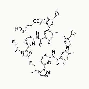 Cc1cc(F)c(C(=O)Nc2cccc(-c3nncn3[C@@H](C)CF)n2)cc1-n1cnc(C2CC2)c1.Cc1cc(F)c(C(=O)Nc2cccc(-c3nncn3[C@@H](C)CF)n2)cc1-n1cnc(C2CC2)c1.O=C(O)CCC(=O)O